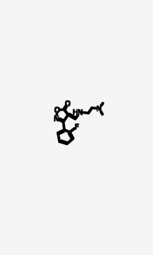 CN(C)CCNC=C1C(=O)ON=C1c1ccccc1F